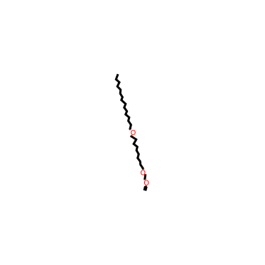 C#COCCOCCCCCCCCCCOCCCCCCCCCCCCCCCC